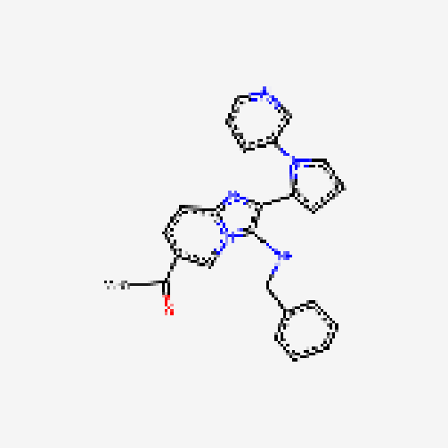 COC(=O)c1ccc2nc(-c3cccn3-c3cccnc3)c(NCc3ccccc3)n2c1